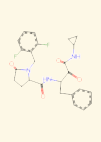 O=C(NC1CC1)C(=O)C(Cc1ccccc1)NC(=O)C1CCC(=O)N1Cc1c(F)cccc1F